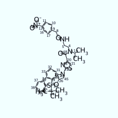 CC(C)N(CCNOCc1ccc([N+](=O)[O-])cc1)C(=O)c1csc(N2CC(O[Si](c3ccccc3)(c3ccccc3)C(C)(C)C)C2)n1